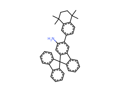 CC1(C)CCC(C)(C)c2cc(-c3cc4c(cc3N)C3(c5ccccc5-c5ccccc53)c3ccccc3-4)ccc21